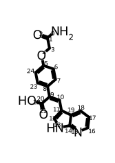 NC(=O)COc1ccc(C(=Cc2c[nH]c3ncccc23)C(=O)O)cc1